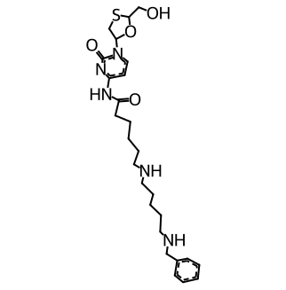 O=C(CCCCCNCCCCCNCc1ccccc1)Nc1ccn(C2CSC(CO)O2)c(=O)n1